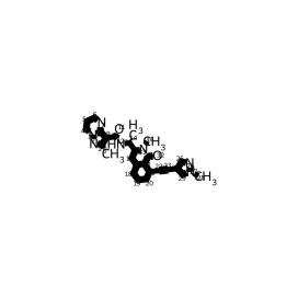 Cc1nn2cccnc2c1C(=O)N[C@H](C)c1cc2cccc(C#Cc3cnn(C)c3)c2c(=O)n1C